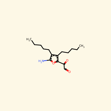 CCCCCc1c(N)oc(C(=O)C=O)c1CCCCC